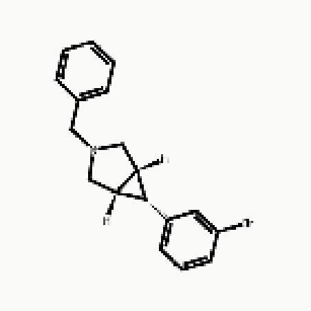 Brc1cccc([C@@H]2[C@@H]3CN(Cc4ccccc4)C[C@@H]32)c1